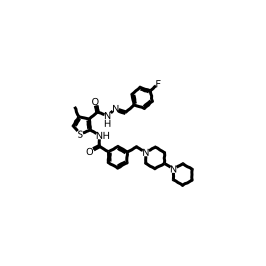 Cc1csc(NC(=O)c2cccc(CN3CCC(N4CCCCC4)CC3)c2)c1C(=O)NN=Cc1ccc(F)cc1